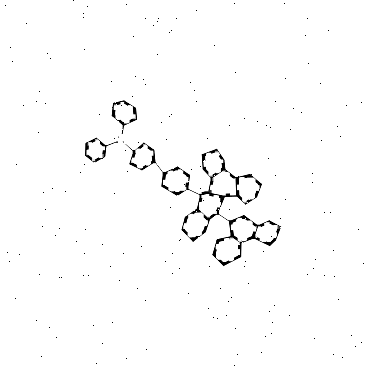 c1ccc(N(c2ccccc2)c2ccc(-c3ccc(-c4c5ccccc5c(-c5cc6ccccc6c6ccccc56)c5c6ccccc6c6ccccc6c45)cc3)cc2)cc1